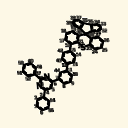 c1ccc(-c2cc(-c3cccc(-c4ccc(-c5cccc6c5Sc5ccccc5C65c6ccccc6-c6ccccc65)cc4)c3)nc(-c3ccccc3)n2)cc1